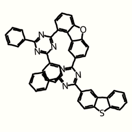 c1ccc(-c2nc(-c3ccc4sc5ccccc5c4c3)nc(-c3ccc4oc5cccc(-c6nc(-c7ccccc7)nc(-c7ccccc7)n6)c5c4c3)n2)cc1